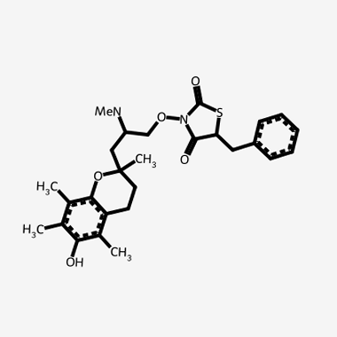 CNC(CON1C(=O)SC(Cc2ccccc2)C1=O)CC1(C)CCc2c(C)c(O)c(C)c(C)c2O1